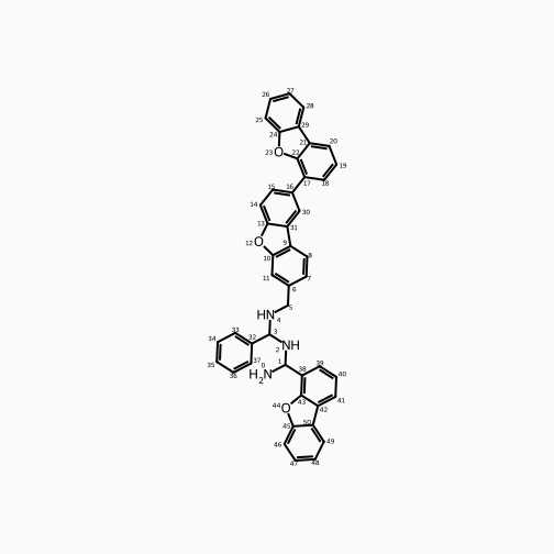 NC(NC(NCc1ccc2c(c1)oc1ccc(-c3cccc4c3oc3ccccc34)cc12)c1ccccc1)c1cccc2c1oc1ccccc12